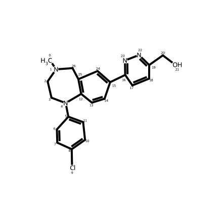 CN1CCN(c2ccc(Cl)cc2)c2ccc(-c3ccc(CO)nn3)cc2C1